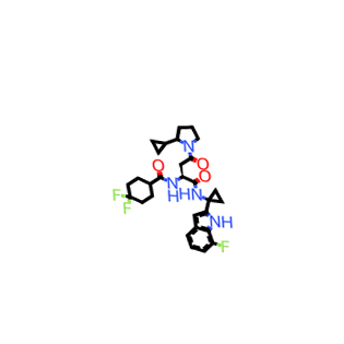 O=C(N[C@@H](CC(=O)N1CCCC1C1CC1)C(=O)NC1(c2cc3cccc(F)c3[nH]2)CC1)C1CCC(F)(F)CC1